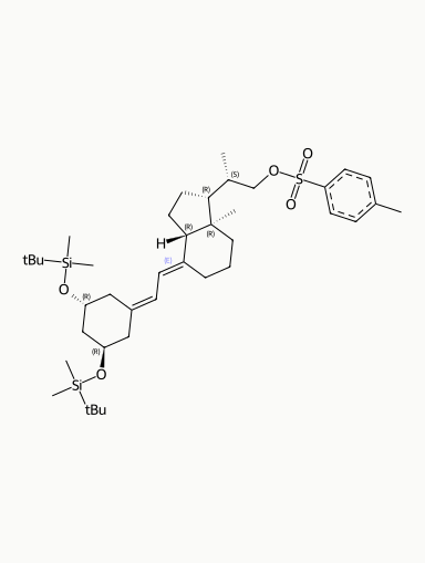 Cc1ccc(S(=O)(=O)OC[C@@H](C)[C@H]2CC[C@H]3/C(=C/C=C4C[C@@H](O[Si](C)(C)C(C)(C)C)C[C@H](O[Si](C)(C)C(C)(C)C)C4)CCC[C@]23C)cc1